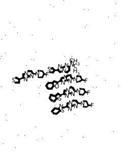 CN(C)c1ccn2cc(-c3ccsc3)nc2n1.FC1CCN(c2ccn3cc(-c4cc5ccccc5o4)nc3n2)CC1.FC1CCN(c2ccn3cc(-c4cc5ccccc5s4)nc3n2)CC1.FC1CCN(c2ccn3cc(-c4ccsc4)nc3n2)CC1.FC1CCN(c2ccn3cc(-c4nc5ccccc5s4)nc3n2)CC1